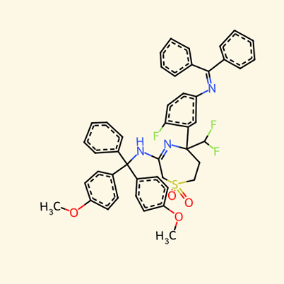 COc1ccc(C(NC2=NC(c3cc(N=C(c4ccccc4)c4ccccc4)ccc3F)(C(F)F)CCS(=O)(=O)C2)(c2ccccc2)c2ccc(OC)cc2)cc1